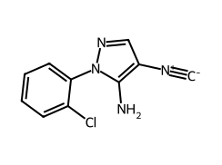 [C-]#[N+]c1cnn(-c2ccccc2Cl)c1N